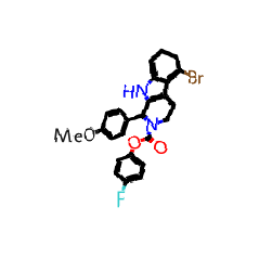 COc1ccc(C2c3[nH]c4c(c3CCN2C(=O)Oc2ccc(F)cc2)=C(Br)CCC=4)cc1